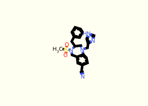 CS(=O)(=O)N1Cc2cc(C#N)ccc2N(Cc2c[nH]cn2)CC1Cc1ccccc1